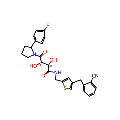 N#Cc1ccccc1Cc1csc(CNC(=O)[C@H](O)[C@@H](O)C(=O)N2CCCC2c2ccc(F)cc2)c1